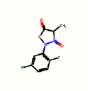 CC1C(=O)SN(c2cc(F)ccc2F)[N+]1=O